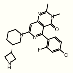 Cc1nc2cc(N3CCC[C@@H](C4CNC4)C3)nc(-c3ccc(Cl)cc3F)c2c(=O)n1C